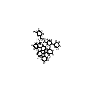 CC1C=CCC(C2NC(c3ccccc3C3C=CC=C(C4(C5C=CC=CC5)C5=CC=CCC5OC5=C4C=CCC5)C3)=NC(C3=CCC(C4C=CCCC4)C=C3)N2)C1